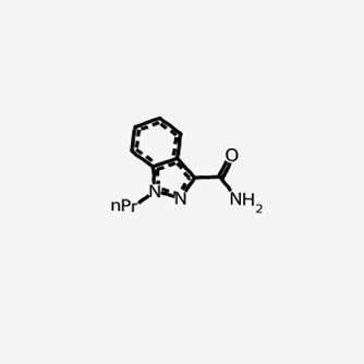 CCCn1nc(C(N)=O)c2ccccc21